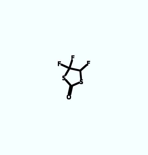 O=C1SC(F)C(F)(F)S1